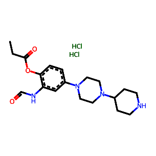 CCC(=O)Oc1ccc(N2CCN(C3CCNCC3)CC2)cc1NC=O.Cl.Cl